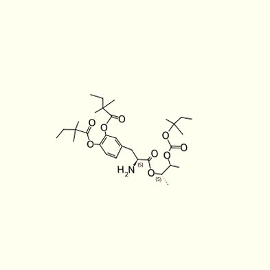 CCC(C)(C)OC(=O)OC(C)[C@H](C)OC(=O)[C@@H](N)Cc1ccc(OC(=O)C(C)(C)CC)c(OC(=O)C(C)(C)CC)c1